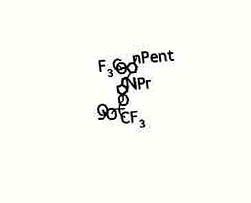 C=CC(=O)OCC(C)(COc1ccc2cc(-c3ccc(CCCCC)cc3OC(F)(F)F)n(C(C)C)c2c1)CC(F)(F)F